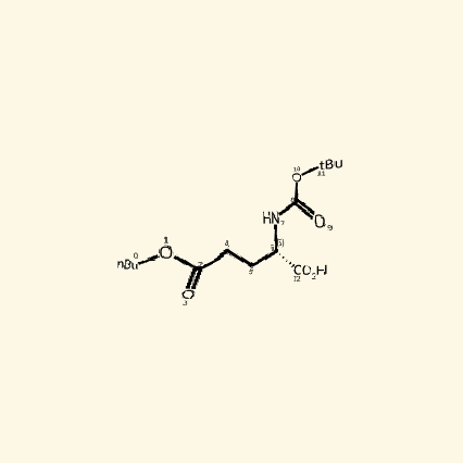 CCCCOC(=O)CC[C@H](NC(=O)OC(C)(C)C)C(=O)O